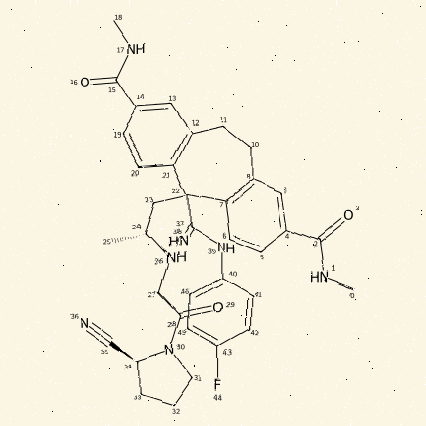 CNC(=O)c1ccc2c(c1)CCc1cc(C(=O)NC)ccc1C2(C[C@@H](C)NCC(=O)N1CCC[C@H]1C#N)C(=N)Nc1ccc(F)cc1